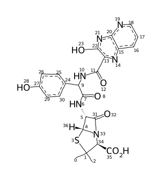 CC1(C)S[C@@H]2[C@H](NC(=O)C(NC(=O)c3nc4cccnc4nc3O)c3ccc(O)cc3)C(=O)N2[C@H]1C(=O)O